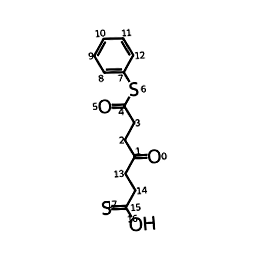 O=C(CCC(=O)Sc1ccccc1)CCC(O)=S